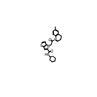 Cc1ccc2c(c1)CCCN2C(=O)Cn1c(C(=O)NC2CCCCC2)cc2sccc21